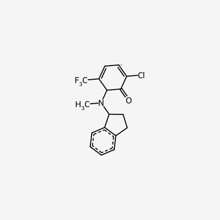 CN(C1C(=O)C(Cl)=[C]C=C1C(F)(F)F)C1CCc2ccccc21